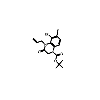 C=CCN1C(=O)CN(C(=O)OC(C)(C)C)c2ccc(F)c(Br)c21